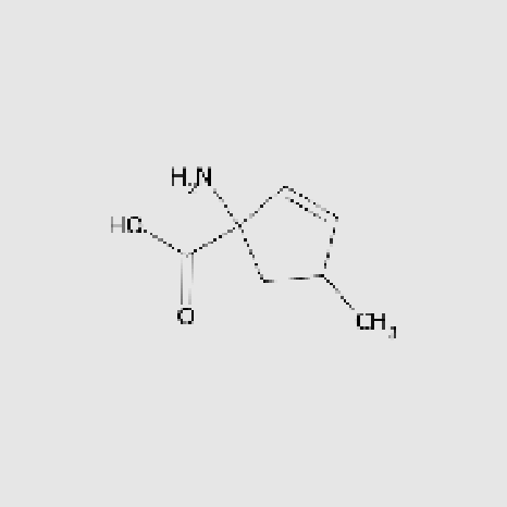 CC1C=CC(N)(C(=O)O)C1